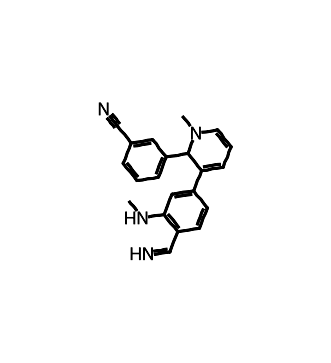 CNc1cc(C2=CC=CN(C)C2c2cccc(C#N)c2)ccc1C=N